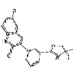 CC1(C)COC(C2=CN(c3cc4cc(Cl)ccc4[nH]c3=O)CC=C2)=N1